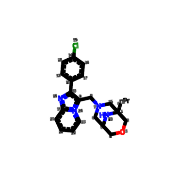 CCCC12COCC(CN(Cc3c(-c4ccc(Cl)cc4)nc4ccccn34)C1)N2